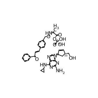 C[C@H](NOCc1ccc(C=CC(=O)c2ccccc2)cc1)C(=O)OP(=O)(O)O.Nc1nc(NC2CC2)c2ncn([C@H]3C=C[C@@H](CO)C3)c2n1